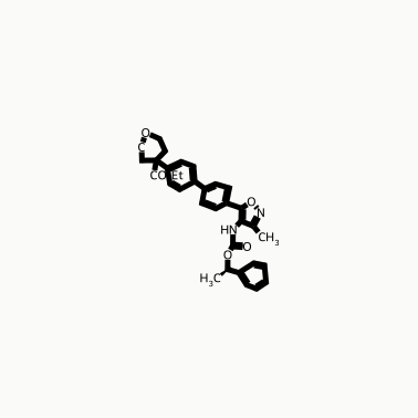 CCOC(=O)C1(c2ccc(-c3ccc(-c4onc(C)c4NC(=O)O[C@H](C)c4ccccc4)cc3)cc2)CCOCC1